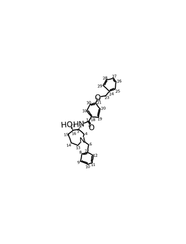 O=C(N[C@@H]1CN(Cc2ccccc2)CCC[C@H]1O)c1ccc(OCc2ccccc2)cc1